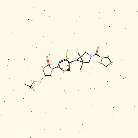 CC(=O)NC[C@H]1CN(c2ccc([C@H]3[C@@H]4CN(C(=O)[C@H]5CCCO5)C[C@@H]43)c(F)c2)C(=O)O1